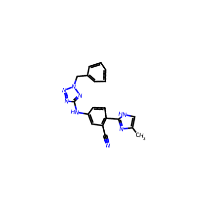 Cc1c[nH]c(-c2ccc(Nc3nnn(Cc4ccccc4)n3)cc2C#N)n1